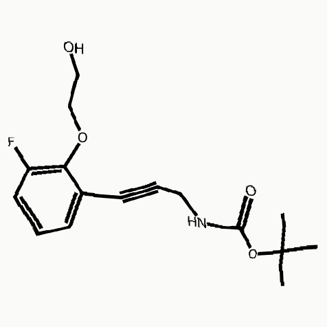 CC(C)(C)OC(=O)NCC#Cc1cccc(F)c1OCCO